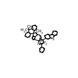 C=C/C=C\C1=C(C)C2(c3ccccc3C(C)(C)c3ccccc32)c2cccc(-c3nc(-c4ccccc4)cc(-c4ccc5c(c4)sc4ccccc45)n3)c21